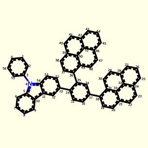 c1ccc(-n2c3ccccc3c3cc(-c4ccc(-c5ccc6ccc7cccc8ccc5c6c78)cc4-c4ccc5ccc6cccc7ccc4c5c67)ccc32)cc1